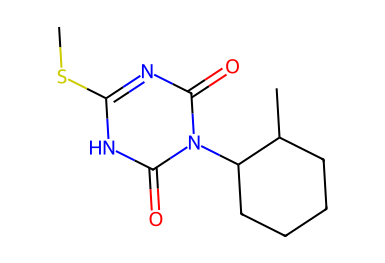 CSc1nc(=O)n(C2CCCCC2C)c(=O)[nH]1